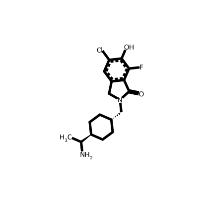 CC(N)[C@H]1CC[C@H](CN2Cc3cc(Cl)c(O)c(F)c3C2=O)CC1